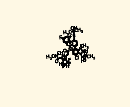 CN(C)C(=O)c1nn(CC(=O)N[C@@H](Cc2cc(F)cc(F)c2)C2NC(C#CC(C)(C)O)=CC=C2c2ccc(Cl)c3c2N(C)NC3NS(C)(=O)=O)c2c1[C@H]1C[C@H]1C2(F)F